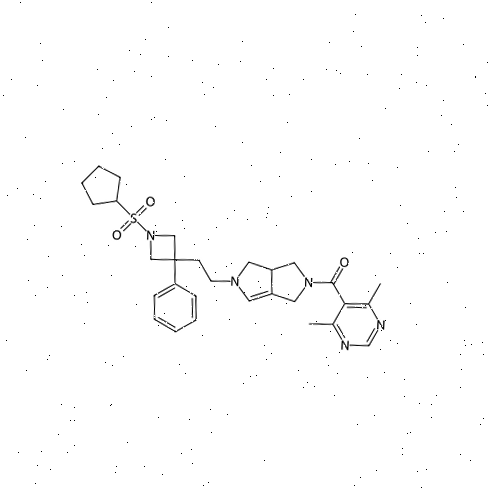 Cc1ncnc(C)c1C(=O)N1CC2=CN(CCC3(c4ccccc4)CN(S(=O)(=O)C4CCCC4)C3)CC2C1